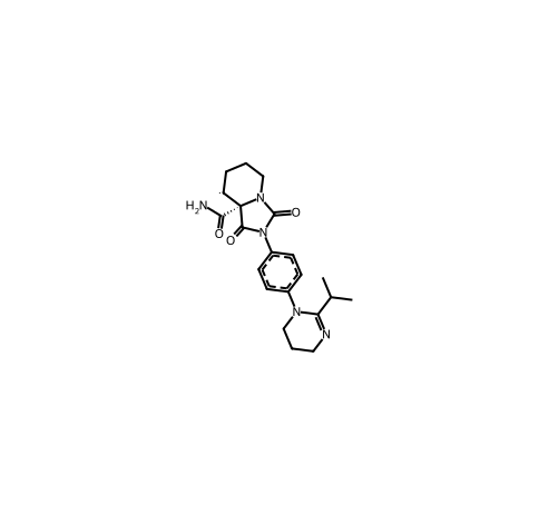 CC(C)C1=NCCCN1c1ccc(N2C(=O)N3CCC[CH][C@]3(C(N)=O)C2=O)cc1